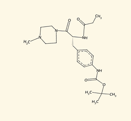 CCC(=O)N[C@H](Cc1ccc(NC(=O)OC(C)(C)C)cc1)C(=O)N1CCN(C)CC1